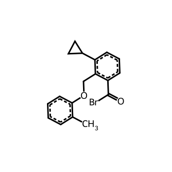 Cc1ccccc1OCc1c(C(=O)Br)cccc1C1CC1